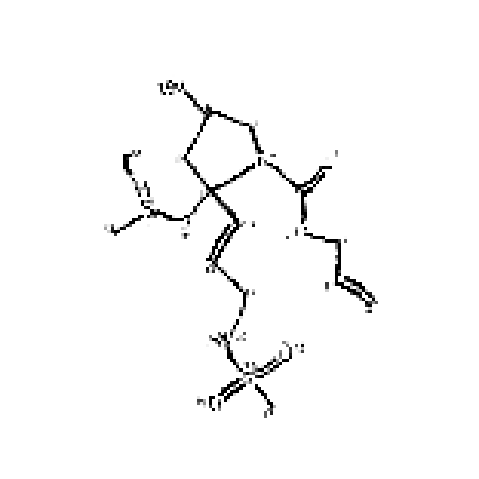 C=CCOC(=O)N1CC(C(C)(C)C)CC1(C=CCNS(C)(=O)=O)O[SiH](C)C